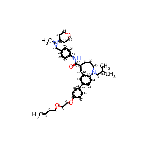 CCCCOCCOc1ccc(-c2ccc3c(c2)/C=C(/C(=O)Nc2ccc(CN(C)C4CCOCC4)cc2)CCCN3CC(C)C)cc1